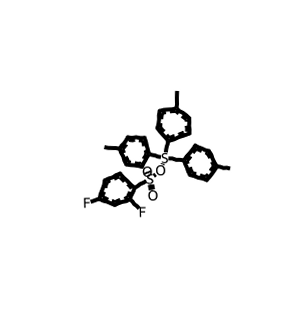 Cc1ccc(S(OS(=O)(=O)c2ccc(F)cc2F)(c2ccc(C)cc2)c2ccc(C)cc2)cc1